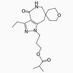 CCc1nn(CCCOC(=O)C(C)C)c2c1C(=O)NCC1(CCOCC1)C2